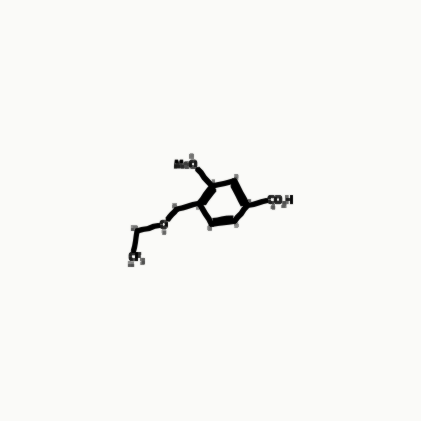 COc1cc(C(=O)O)ccc1COCC(F)(F)F